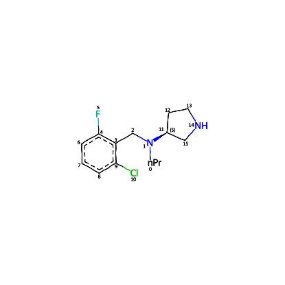 CCCN(Cc1c(F)cccc1Cl)[C@H]1CCNC1